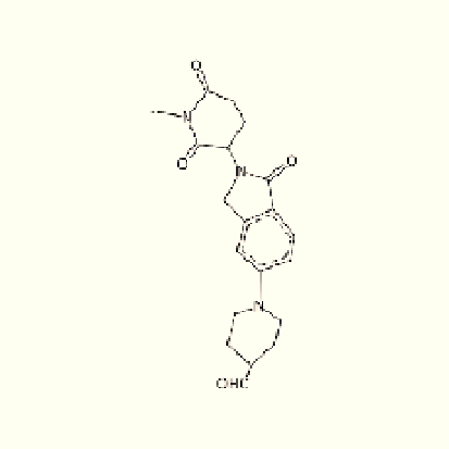 [CH2]N1C(=O)CCC(N2Cc3cc(N4CCC(C=O)CC4)ccc3C2=O)C1=O